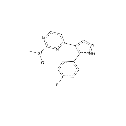 C[S+]([O-])c1nccc(-c2cn[nH]c2-c2ccc(F)cc2)n1